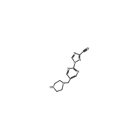 N#Cc1ncn(-c2ncc(CN3CCNCC3)cn2)n1